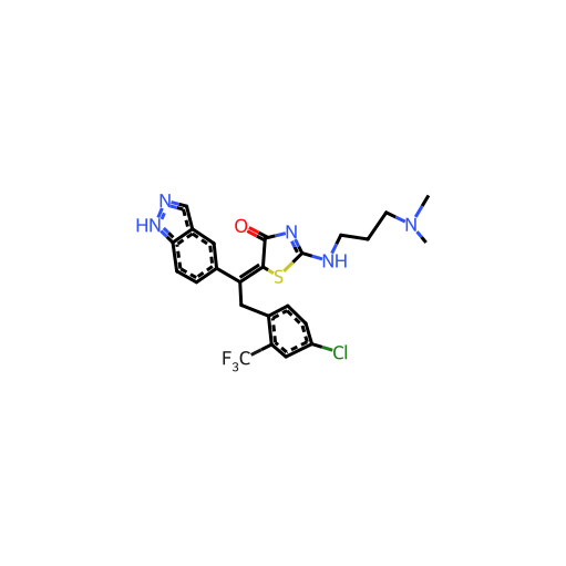 CN(C)CCCNC1=NC(=O)C(=C(Cc2ccc(Cl)cc2C(F)(F)F)c2ccc3[nH]ncc3c2)S1